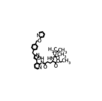 CCOC(=O)C(CCC(=O)Nc1ncccc1-c1cc(Cc2ccc(COc3ccccn3)cc2)no1)NC(=O)OC(C)(C)C